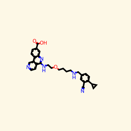 N#Cc1cc(CNCCCCOCCNc2nc3cc(C(=O)O)ccc3c3cnccc23)ccc1C1CC1